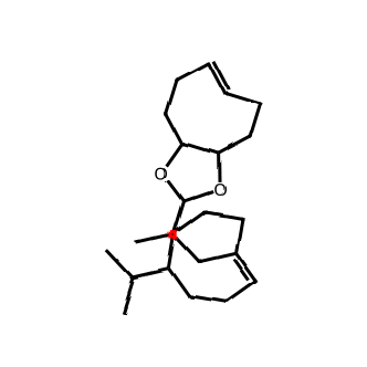 CC(C)C1CC/C=C(\CC(C)C2OC3CC/C=C/CCC3O2)CCC1